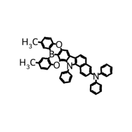 Cc1ccc2c(c1)B1c3cc(C)ccc3Oc3c1c(cc1c4ccc5cc(N(c6ccccc6)c6ccccc6)ccc5c4n(-c4ccccc4)c31)O2